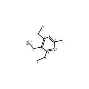 CCc1cc(C)nc(CC)c1CCl